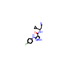 N#CCC(NC(=O)c1c[nH]nc1Nc1ccc(F)cc1)C1CC1